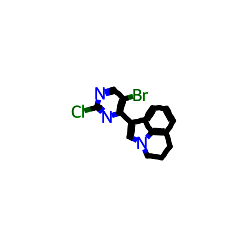 Clc1ncc(Br)c(-c2cn3c4c(cccc24)CCC3)n1